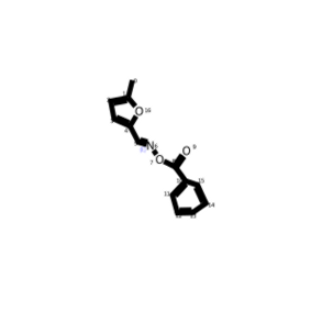 Cc1ccc(/C=N/OC(=O)c2ccccc2)o1